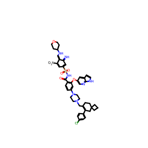 N=C1C=C(S(=O)(=O)NC(=O)c2ccc(N3CCN(CC4=C(c5ccc(Cl)cc5)CC5(CCC5)CC4)CC3)cc2Oc2cnc3[nH]ccc3c2)C=C([N+](=O)[O-])/C1=C/NC1CCOCC1